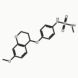 CNS(=O)(=O)Nc1ccc(OC2CCOc3cc(OC)ccc32)cc1